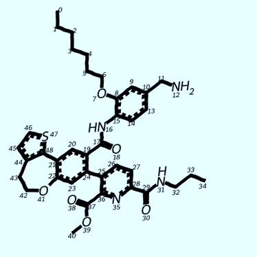 CCCCCCCOc1cc(CN)ccc1NC(=O)c1cc2c(cc1-c1ccc(C(=O)NCCC)nc1C(=O)OC)OCCc1ccsc1-2